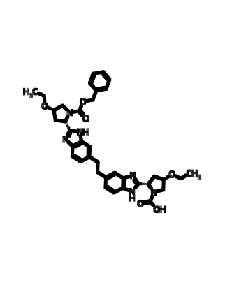 CCO[C@@H]1C[C@@H](c2nc3cc(CCc4ccc5nc([C@@H]6C[C@@H](OCC)CN6C(=O)OCc6ccccc6)[nH]c5c4)ccc3[nH]2)N(C(=O)O)C1